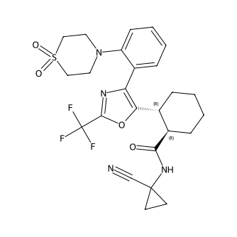 N#CC1(NC(=O)[C@@H]2CCCC[C@H]2c2oc(C(F)(F)F)nc2-c2ccccc2N2CCS(=O)(=O)CC2)CC1